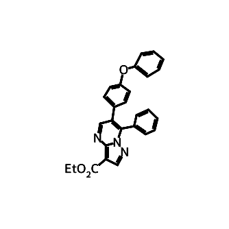 CCOC(=O)c1cnn2c(-c3ccccc3)c(-c3ccc(Oc4ccccc4)cc3)cnc12